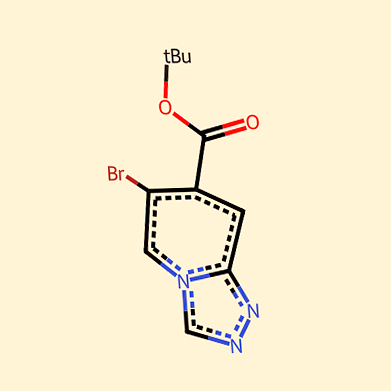 CC(C)(C)OC(=O)c1cc2nncn2cc1Br